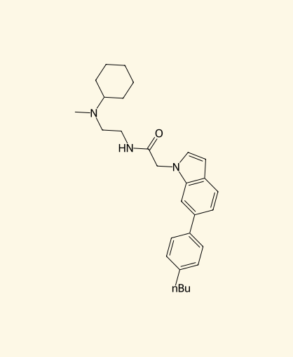 CCCCc1ccc(-c2ccc3ccn(CC(=O)NCCN(C)C4CCCCC4)c3c2)cc1